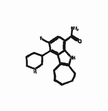 NC(=O)c1cc(F)c(C2CCCNC2)c2c3c([nH]c12)CCCCC3